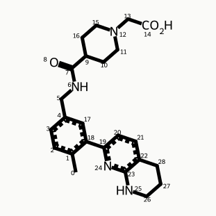 Cc1ccc(CNC(=O)C2CCN(CC(=O)O)CC2)cc1-c1ccc2c(n1)NCCC2